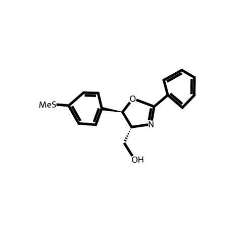 CSc1ccc([C@H]2OC(c3ccccc3)=N[C@@H]2CO)cc1